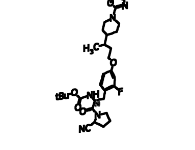 CC(C)c1noc(N2CCC(C(C)CCOc3ccc(C[C@H](NC(=O)OC(C)(C)C)C(=O)N4CCCC4C#N)c(F)c3)CC2)n1